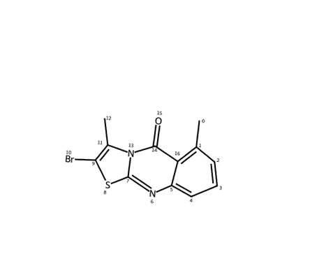 Cc1cccc2nc3sc(Br)c(C)n3c(=O)c12